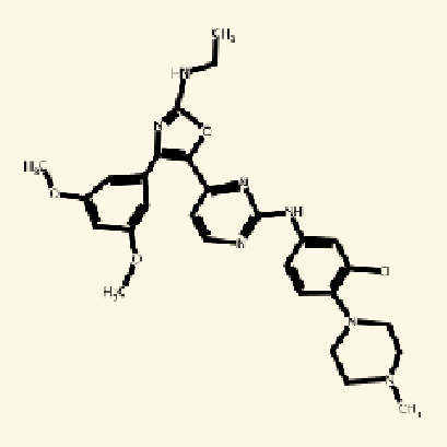 CCNc1nc(-c2cc(OC)cc(OC)c2)c(-c2ccnc(Nc3ccc(N4CCN(C)CC4)c(Cl)c3)n2)o1